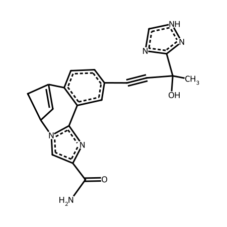 CC(O)(C#Cc1ccc2c(c1)-c1nc(C(N)=O)cn1C1C=C2C1)c1nc[nH]n1